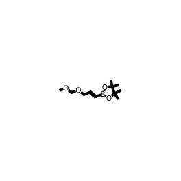 COCOCC=CB1OC(C)(C)C(C)(C)O1